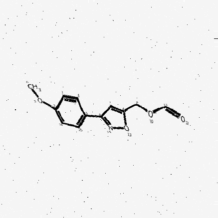 COc1ccc(-c2cc(COC=O)on2)cc1